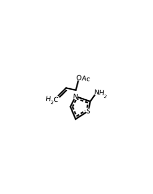 C=CCOC(C)=O.Nc1nccs1